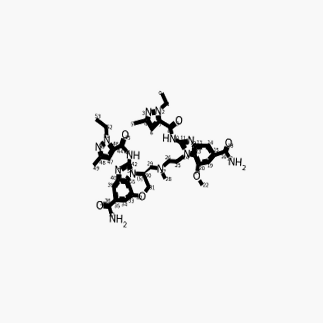 CCn1nc(C)cc1C(=O)Nc1nc2cc(C(N)=O)cc(OC)c2n1CCN(C)C[C@H]1COc2cc(C(N)=O)cc3nc(NC(=O)c4cc(C)nn4CC)n1c23